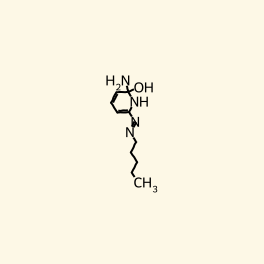 CCCCCN=NC1=CC=CC(N)(O)N1